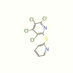 Clc1nc(Sc2ccccn2)c(Cl)c(Cl)c1Cl